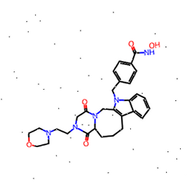 O=C(NO)c1ccc(Cn2c3c(c4ccccc42)CCCC2C(=O)N(CCN4CCOCC4)CC(=O)N2C3)cc1